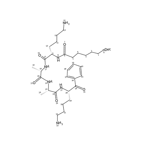 CCCCCCCCCCCCCCCC(=O)N[C@@H](CCCCN)C(=O)N[C@@H](C)C(=O)N[C@@H](C)C(=O)N[C@@H](CCCCN)C(=O)c1ccccc1